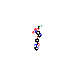 O=C(Nc1ccccn1)c1ccc(Oc2ccnc3cc(OCCBr)c([N+](=O)[O-])cc23)cc1